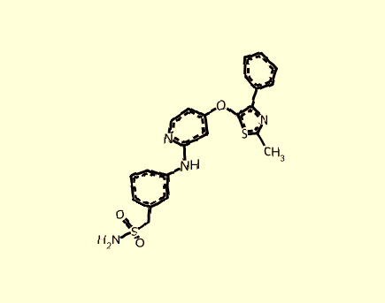 Cc1nc(-c2ccccc2)c(Oc2ccnc(Nc3cccc(CS(N)(=O)=O)c3)c2)s1